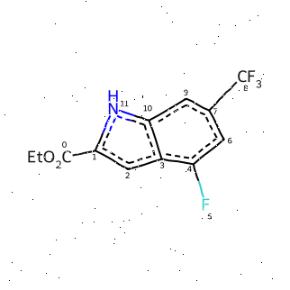 CCOC(=O)c1cc2c(F)cc(C(F)(F)F)cc2[nH]1